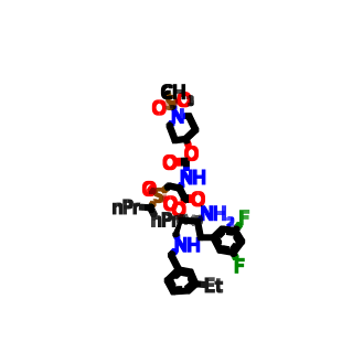 CCCC(CCC)S(=O)(=O)CC(NC(=O)OC1CCN(S(C)(=O)=O)CC1)C(=O)O[C@H](CNCc1cccc(CC)c1)[C@@H](N)Cc1cc(F)cc(F)c1